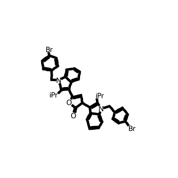 CC(C)c1c(C2=CC(c3c(C(C)C)n(Cc4ccc(Br)cc4)c4ccccc34)C(=O)O2)c2ccccc2n1Cc1ccc(Br)cc1